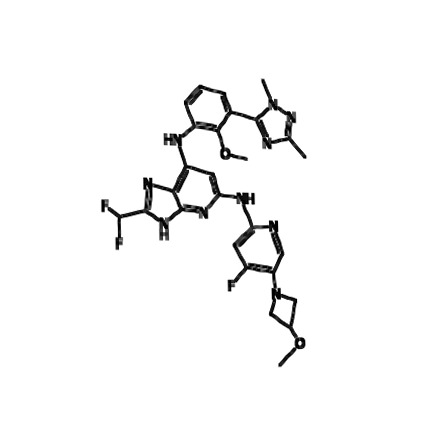 COc1c(Nc2cc(Nc3cc(F)c(N4CC(OC)C4)cn3)nc3[nH]c(C(F)F)nc23)cccc1-c1nc(C)nn1C